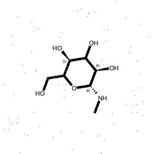 CN[C@@H]1OC(CO)[C@@H](O)C(O)[C@H]1O